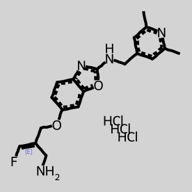 Cc1cc(CNc2nc3ccc(OC/C(=C/F)CN)cc3o2)cc(C)n1.Cl.Cl.Cl